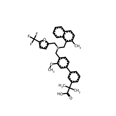 COc1cc(-c2cccc(C(C)(C)C(=O)O)c2)ccc1CN(Cc1ccc(C(F)(F)F)o1)Cc1c(C)ccc2ccccc12